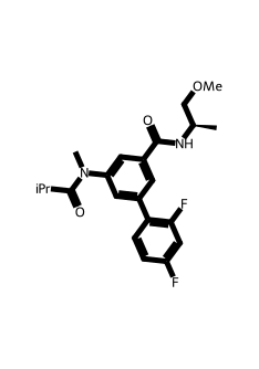 COC[C@@H](C)NC(=O)c1cc(-c2ccc(F)cc2F)cc(N(C)C(=O)C(C)C)c1